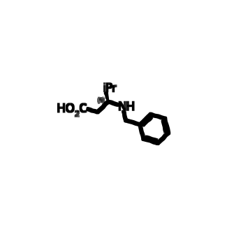 CC(C)[C@H](CC(=O)O)NCc1ccccc1